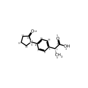 C[C@@H](C(=O)O)c1ccc(N2CCCC2=O)cc1